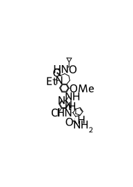 CCN1C(=O)C(NC(=O)C2CC2)CCc2c1ccc(Nc1ncc(Cl)c(N[C@H]3[C@@H](C(N)=O)[C@@H]4C=C[C@H]3C4)n1)c2OC